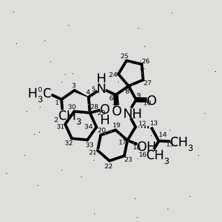 CC(C)C[C@@H](NC(=O)C1(C(=O)N[C@H](CC(C)C)C2(O)CCCCC2)CCCC1)C1(O)CCCCC1